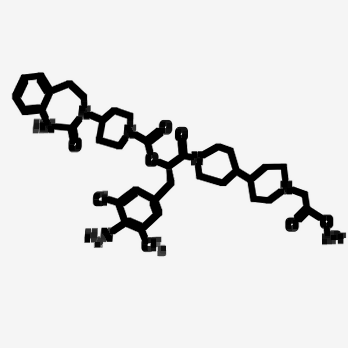 CCCOC(=O)CN1CCC(C2CCN(C(=O)[C@@H](Cc3cc(Cl)c(N)c(C(F)(F)F)c3)OC(=O)N3CCC(N4CCc5ccccc5NC4=O)CC3)CC2)CC1